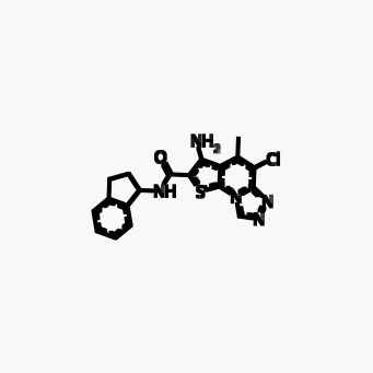 Cc1c(Cl)c2nncn2c2sc(C(=O)NC3CCc4ccccc43)c(N)c12